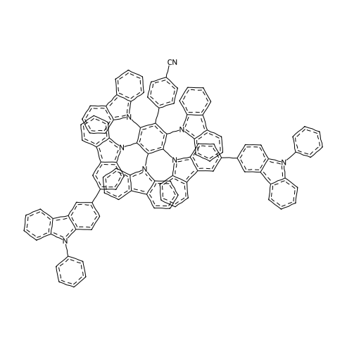 N#Cc1ccc(-c2c(-n3c4ccccc4c4ccccc43)c(-n3c4ccccc4c4cc(-c5ccc6c(c5)c5ccccc5n6-c5ccccc5)ccc43)c(-n3c4ccccc4c4ccccc43)c(-n3c4ccccc4c4cc(-c5ccc6c(c5)c5ccccc5n6-c5ccccc5)ccc43)c2-n2c3ccccc3c3ccccc32)cc1